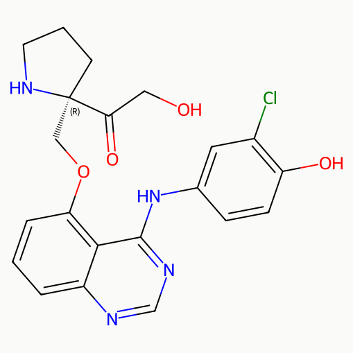 O=C(CO)[C@]1(COc2cccc3ncnc(Nc4ccc(O)c(Cl)c4)c23)CCCN1